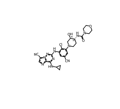 N#Cc1cc(Nc2nc(NC3CC3)c3ncc(C#N)n3n2)c(Cl)c(N2CC[C@@H](NC(=O)N3CCOCC3)[C@H](O)C2)c1